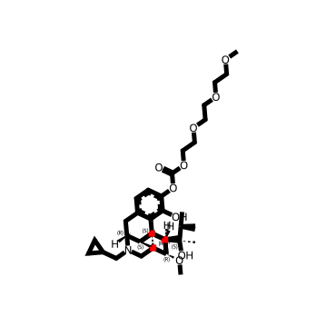 COCCOCCOCCOC(=O)Oc1ccc2c(c1O)[C@]13CCN(CC4CC4)[C@H](C2)[C@]12CC[C@](OC)([C@@H]([C@](C)(O)C(C)(C)C)C2)[C@@H]3C